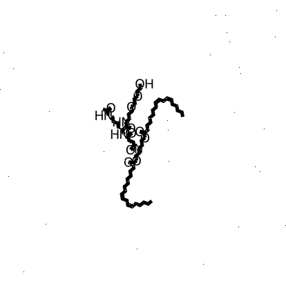 CCCCC/C=C\C/C=C\CCCCCCCC(=O)OCCN(CCOC(=O)CCCCCCC/C=C\C/C=C\CCCCC)C(=O)CCC(=O)N[C@@H](CCCCNC(C)=O)C(=O)NCCCOCCOCCO